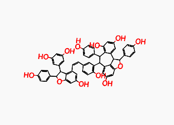 Oc1ccc(C2Oc3cc(O)cc(/C=C\c4ccc(O)c(C5c6cc(O)cc7c6C(c6cc(O)cc(O)c6C5c5ccc(O)cc5)C(c5ccc(O)cc5)O7)c4)c3C2c2cc(O)cc(O)c2)cc1